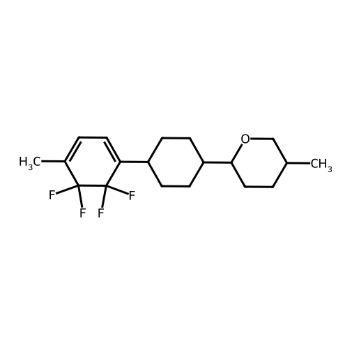 CC1=CC=C(C2CCC(C3CCC(C)CO3)CC2)C(F)(F)C1(F)F